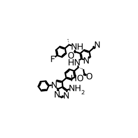 C[C@H](NC(=O)c1cc(C#N)cnc1N[C@H](CC(=O)O)c1ccc(-c2cn(-c3ccccc3)c3ncnc(N)c23)cc1)c1ccc(F)cc1